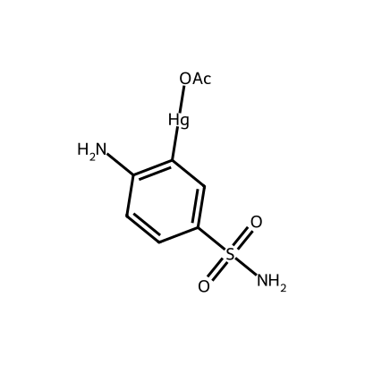 CC(=O)[O][Hg][c]1cc(S(N)(=O)=O)ccc1N